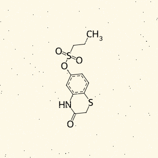 CCCS(=O)(=O)Oc1ccc2c(c1)NC(=O)CS2